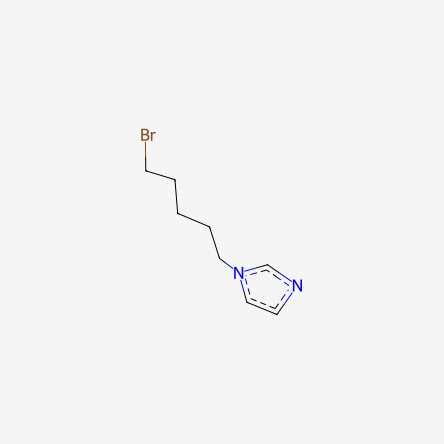 BrCCCCCn1ccnc1